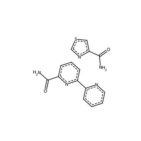 NC(=O)c1cccc(-c2ccccn2)n1.NC(=O)c1cscn1